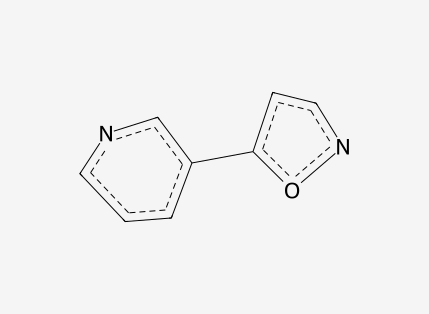 c1cncc(-c2ccno2)c1